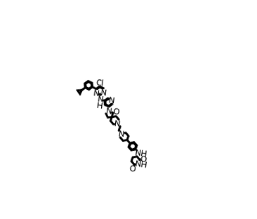 O=C1CCC(Nc2ccc(C3CCN(CCN4CCC5(CC4)CCN(c4cncc(Nc6ncc(Cl)c(-c7cccc(C8CC8)c7)n6)c4)C5=O)CC3)cc2)C(=O)N1